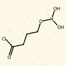 O=C(Cl)CCCON(O)O